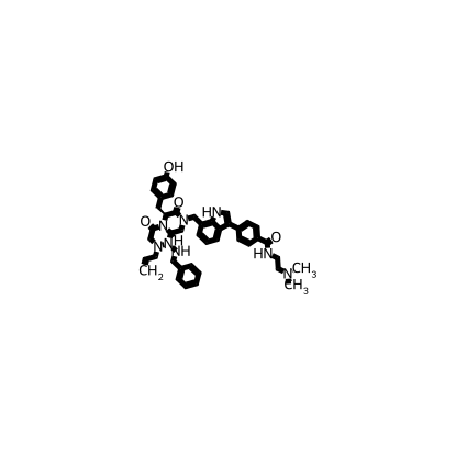 C=CCN1CC(=O)N2[C@@H](Cc3ccc(O)cc3)C(=O)N(Cc3cccc4c(-c5ccc(C(=O)NCCN(C)C)cc5)c[nH]c34)C[C@@H]2N1NCc1ccccc1